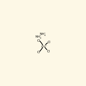 [Cl][Zn-2]([Cl])([Cl])[Cl].[NH4+].[NH4+]